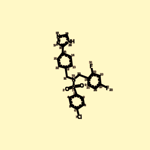 O=S(=O)(c1ccc(Cl)cc1)N(Cc1ccc(-c2nnc[nH]2)cc1)Cc1ccc(F)cc1F